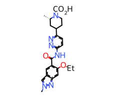 CCOc1cc2nn(C)cc2cc1C(=O)Nc1ccc(C2CCN(C(=O)O)[C@@H](C)C2)nn1